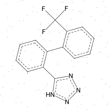 FC(F)(F)c1ccccc1-c1ccc[c]c1-c1nnn[nH]1